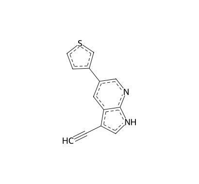 C#Cc1c[nH]c2ncc(-c3ccsc3)cc12